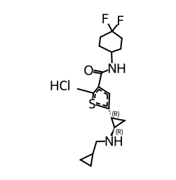 Cc1sc([C@@H]2C[C@H]2NCC2CC2)cc1C(=O)NC1CCC(F)(F)CC1.Cl